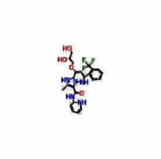 CC1=C(C(=O)NC2C=CC=CN2)N2NC(c3ccccc3C(F)(F)F)C=C(OC[C@H](O)CO)C2N1